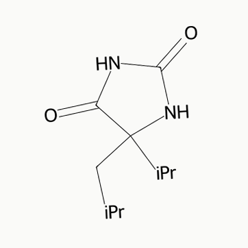 CC(C)CC1(C(C)C)NC(=O)NC1=O